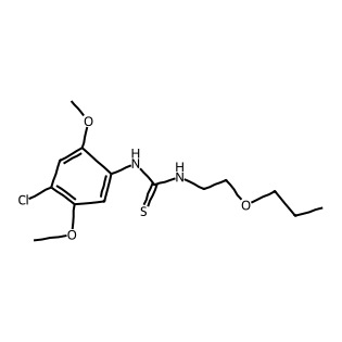 CCCOCCNC(=S)Nc1cc(OC)c(Cl)cc1OC